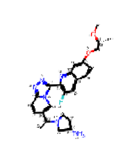 CO[C@H](C)COc1ccc2cc(F)c(-c3nnc4ccc([C@H](C)N5CC[C@H](N)C5)cn34)nc2c1